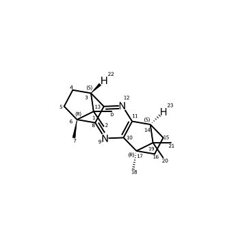 CC1(C)[C@@H]2CC[C@@]1(C)c1nc3c(nc12)[C@H]1CC[C@]3(C)C1(C)C